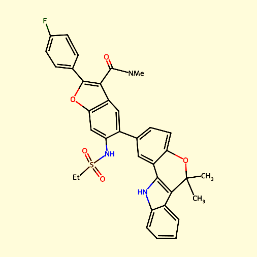 CCS(=O)(=O)Nc1cc2oc(-c3ccc(F)cc3)c(C(=O)NC)c2cc1-c1ccc2c(c1)-c1[nH]c3ccccc3c1C(C)(C)O2